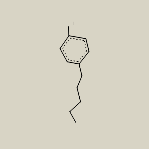 Cc1ccc(CCCC[O])cc1